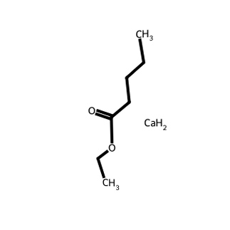 CCCCC(=O)OCC.[CaH2]